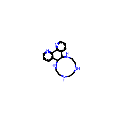 c1cnc2c(c1)C1NCCNCCNCCNC1c1cccnc1-2